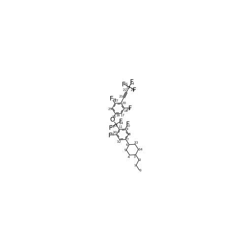 CCCC1CCC(c2cc(F)c(C(F)(F)Oc3cc(F)c(C#CC(F)(F)F)c(F)c3)c(F)c2)CC1